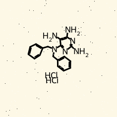 Cl.Cl.Nc1nc(N)c(N)c(N(Cc2ccccc2)Cc2ccccc2)n1